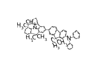 CC1(C)C2=c3c(c4cc(-c5ccc6c(c5)C(C)(C)c5cc(N(c7ccccc7)c7ccccc7)ccc5-6)cc5c4n3-c3c1cccc3C5(C)C)=CCC2